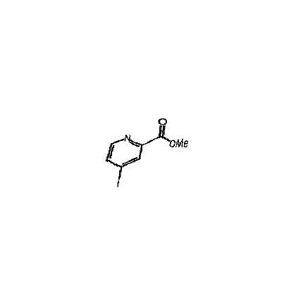 COC(=O)c1cc(I)ccn1